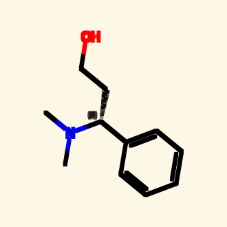 CN(C)[C@H](CCO)c1ccccc1